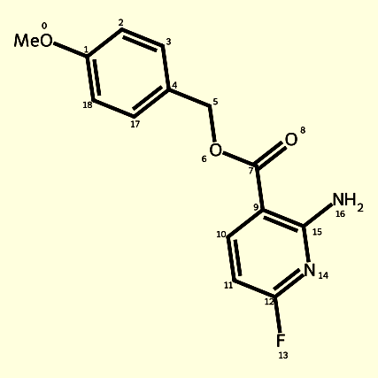 COc1ccc(COC(=O)c2ccc(F)nc2N)cc1